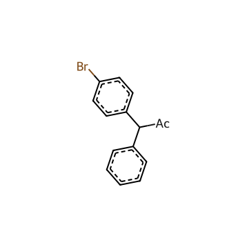 CC(=O)C(c1ccccc1)c1ccc(Br)cc1